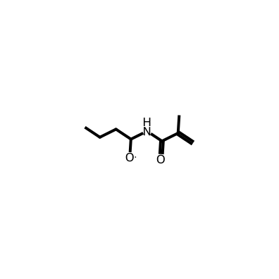 C=C(C)C(=O)NC([O])CCC